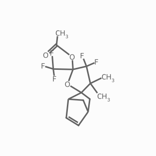 CC(=O)OC1(C(F)(F)F)OC2(CC3C=CC2C3)C(C)(C)C1(F)F